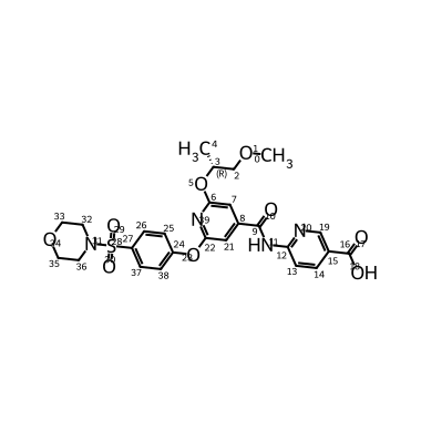 COC[C@@H](C)Oc1cc(C(=O)Nc2ccc(C(=O)O)cn2)cc(Oc2ccc(S(=O)(=O)N3CCOCC3)cc2)n1